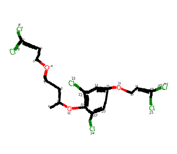 CC(CCOCC=C(Cl)Cl)Oc1c(Cl)cc(OCC=C(Cl)Cl)cc1Cl